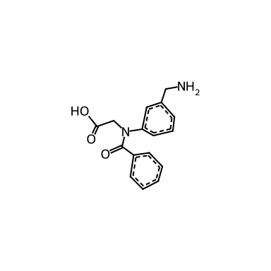 NCc1cccc(N(CC(=O)O)C(=O)c2ccccc2)c1